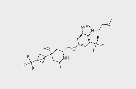 COCCn1cnc2cc(OCC3CC(O)(C45CC(C(F)(F)F)(C4)C5)CC(C)N3)cc(C(F)(F)F)c21